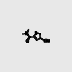 CN(C)C(=O)c1cc(C(C)(C)C)cs1